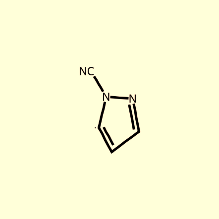 N#Cn1[c]ccn1